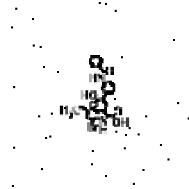 CCc1cc(Br)c2[nH]c(C(=O)O)c(C=C(C(=O)O)c3cccc(NC(=O)c4ccccc4)c3)c2c1